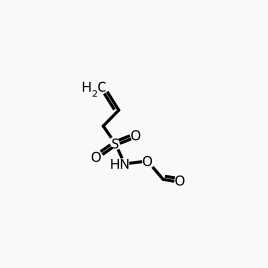 C=CCS(=O)(=O)NOC=O